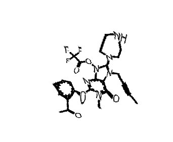 CC#CCN1c2c(nc(Oc3ccccc3C(C)=O)n(C)c2=O)N(OC(=O)C(F)(F)F)C1N1CCNCC1